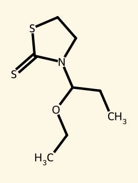 CCOC(CC)N1CCSC1=S